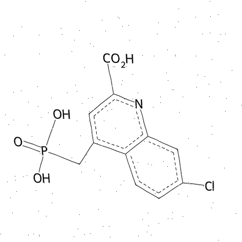 O=C(O)c1cc(CP(=O)(O)O)c2ccc(Cl)cc2n1